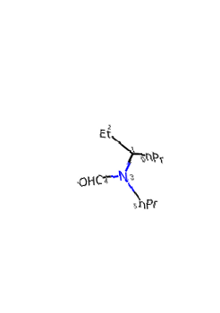 CCCC(CC)N([C]=O)CCC